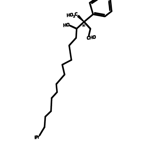 CC(C)CCCCCCCCCCCC(O)[C@](CC=O)(C(=O)O)c1ccc(Br)cc1